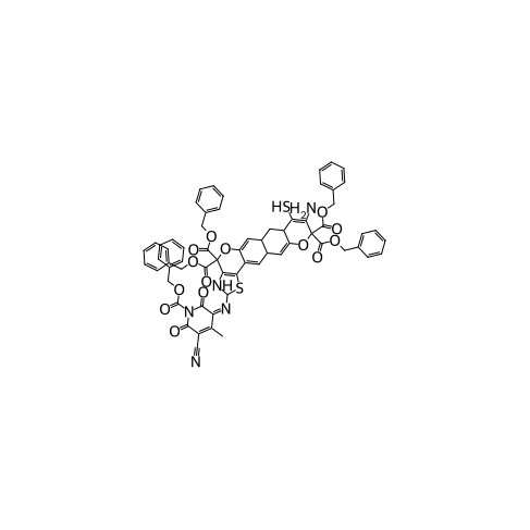 CC1=C(C#N)C(=O)N(C(=O)OCc2ccccc2)C(=O)/C1=N\C1NC2=C(S1)C1=CC3C=C4OC(C(=O)OCc5ccccc5)(C(=O)OCc5ccccc5)C(N)=C(S)C4CC3C=C1OC2(C(=O)OCc1ccccc1)C(=O)OCc1ccccc1